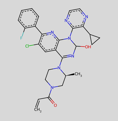 C=CC(=O)N1CCN(C2=NC(O)N(c3nccnc3C3CC3)c3nc(-c4ccccc4F)c(Cl)cc32)[C@@H](C)C1